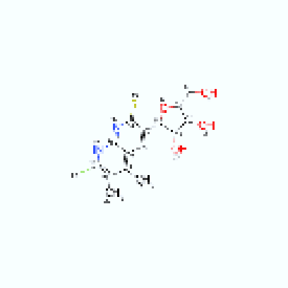 Cc1c2cc([C@@H]3O[C@H](CO)C(O)[C@@H]3O)c(=S)nc-2[nH]c(F)c1C